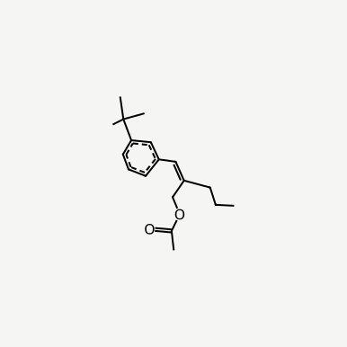 CCCC(=Cc1cccc(C(C)(C)C)c1)COC(C)=O